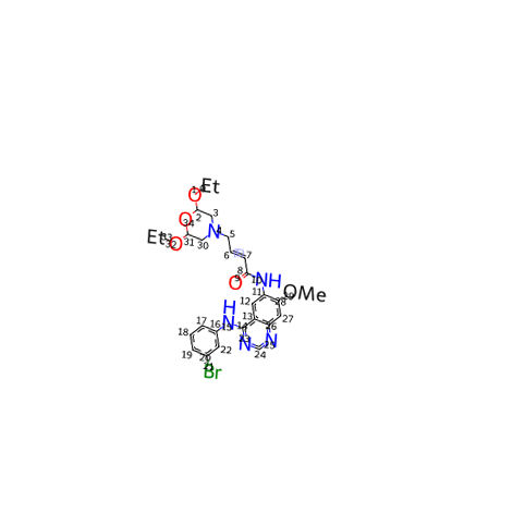 CCOC1CN(C/C=C/C(=O)Nc2cc3c(Nc4cccc(Br)c4)ncnc3cc2OC)CC(OCC)O1